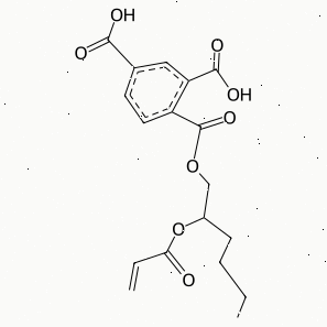 C=CC(=O)OC(CCCC)COC(=O)c1ccc(C(=O)O)cc1C(=O)O